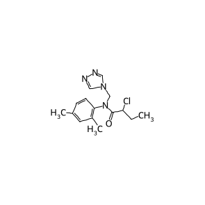 CCC(Cl)C(=O)N(Cn1cnnc1)c1ccc(C)cc1C